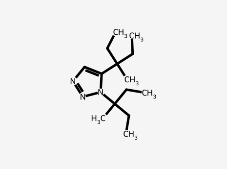 CCC(C)(CC)c1cnnn1C(C)(CC)CC